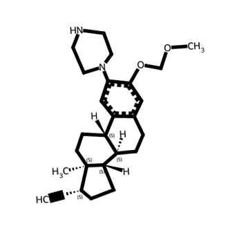 C#C[C@H]1CC[C@H]2[C@@H]3CCc4cc(OCOC)c(N5CCNCC5)cc4[C@H]3CC[C@]12C